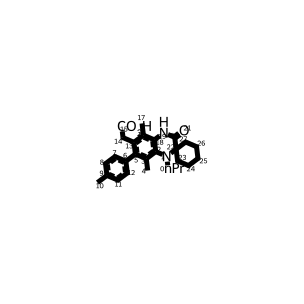 CCCN1c2c(C)c(-c3ccc(C)cc3)c(CC(=O)O)c(C)c2NC(=O)C12CCCCC2